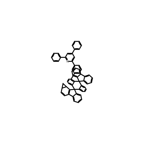 C1=CC2CC2C2=C1c1ccccc1C21c2ccccc2C2(c3ccccc3-c3ccccc32)c2c(-c3cccc(-c4cc(-c5ccccc5)cc(-c5ccccc5)n4)c3)cccc21